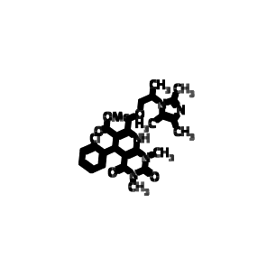 COC(=O)C1=C(COCC(C)n2c(C)nc(C)c2C)Nc2c(c(=O)n(C)c(=O)n2C)C1c1ccccc1Cl